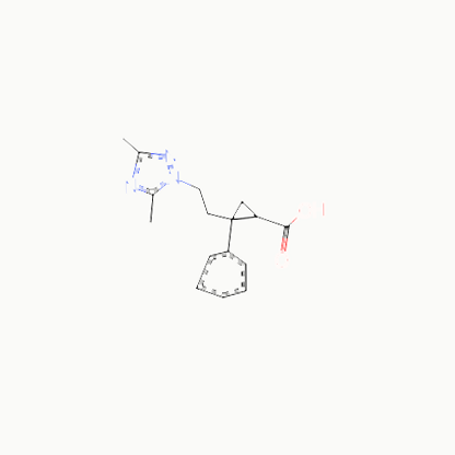 Cc1nc(C)n(CCC2(c3ccccc3)CC2C(=O)O)n1